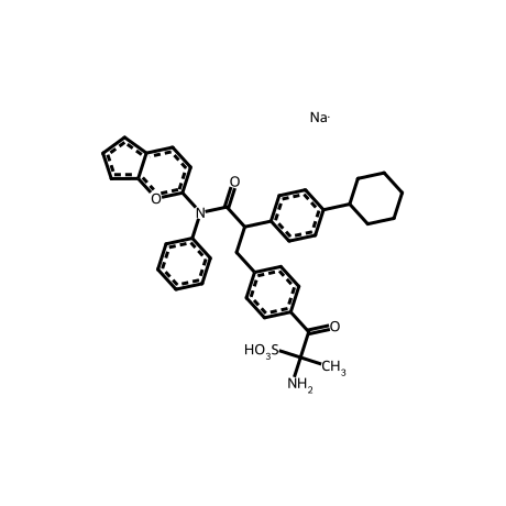 CC(N)(C(=O)c1ccc(CC(C(=O)N(c2ccccc2)c2ccc3cccc-3o2)c2ccc(C3CCCCC3)cc2)cc1)S(=O)(=O)O.[Na]